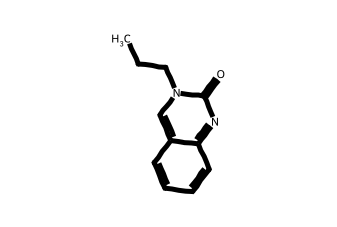 CCCn1cc2ccccc2nc1=O